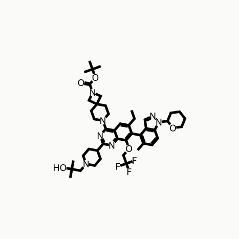 CCc1cc2c(N3CCC4(CC3)CN(C(=O)OC(C)(C)C)C4)nc(C3CCN(CC(C)(C)O)CC3)nc2c(OCC(F)(F)F)c1-c1c(C)ccc2c1cnn2C1CCCCO1